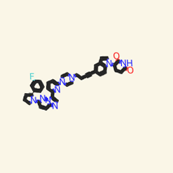 O=C1CCC(n2ccc3cc(C#CCCN4CCN(c5cccc(-c6cnc7ccc(N8CCC[C@@H]8c8cccc(F)c8)nn67)n5)CC4)ccc32)C(=O)N1